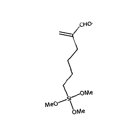 C=C([C]=O)CCCC[Si](OC)(OC)OC